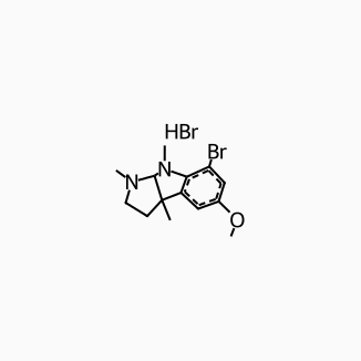 Br.COc1cc(Br)c2c(c1)C1(C)CCN(C)C1N2C